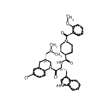 COc1ccccc1C(=O)N1CCC(C(=O)N[C@H](Cc2c[nH]c3ccccc23)C(=O)N2C[C@@H](CN(C)C)Cc3cc(Cl)ccc32)CC1